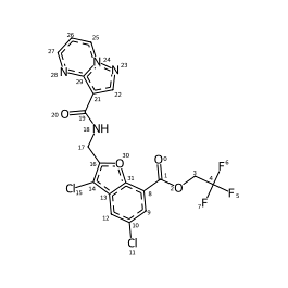 O=C(OCC(F)(F)F)c1cc(Cl)cc2c(Cl)c(CNC(=O)c3cnn4cccnc34)oc12